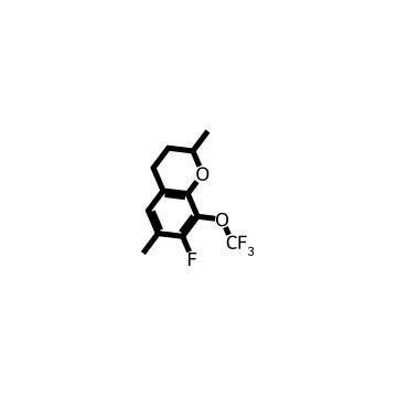 Cc1cc2c(c(OC(F)(F)F)c1F)OC(C)CC2